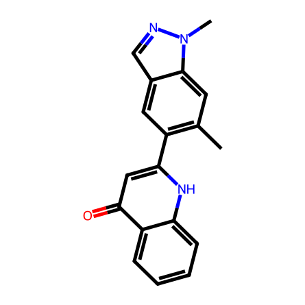 Cc1cc2c(cnn2C)cc1-c1cc(=O)c2ccccc2[nH]1